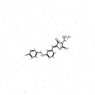 Cc1ccc(COc2cccc(/C=C3\SC(=S)N(CC(=O)O)C3=O)c2)cc1